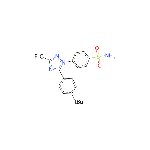 CC(C)(C)c1ccc(-c2nc(C(F)(F)F)nn2-c2ccc(S(N)(=O)=O)cc2)cc1